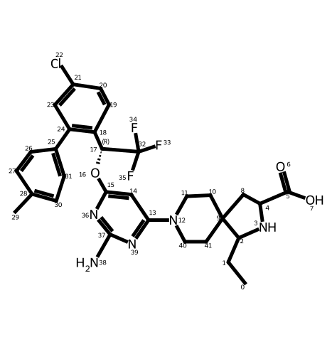 CCC1NC(C(=O)O)CC12CCN(c1cc(O[C@H](c3ccc(Cl)cc3-c3ccc(C)cc3)C(F)(F)F)nc(N)n1)CC2